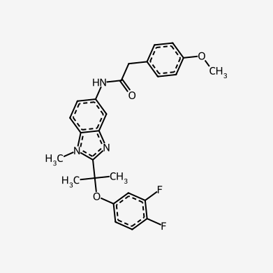 COc1ccc(CC(=O)Nc2ccc3c(c2)nc(C(C)(C)Oc2ccc(F)c(F)c2)n3C)cc1